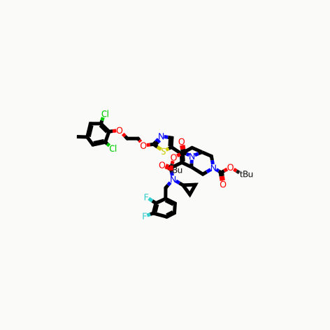 Cc1cc(Cl)c(OCCOc2ncc(C3=C(C(=O)N(Cc4cccc(F)c4F)C4CC4)C4CN(C(=O)OC(C)(C)C)CC(C3)N4C(=O)OC(C)(C)C)s2)c(Cl)c1